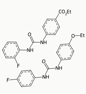 CCOC(=O)c1ccc(NC(=O)Nc2ccccc2F)cc1.CCOc1ccc(NC(=O)Nc2ccc(F)cc2)cc1